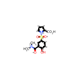 CN(C)C(=O)c1cc(S(=O)(=O)n2cccc2C(=O)O)ccc1O